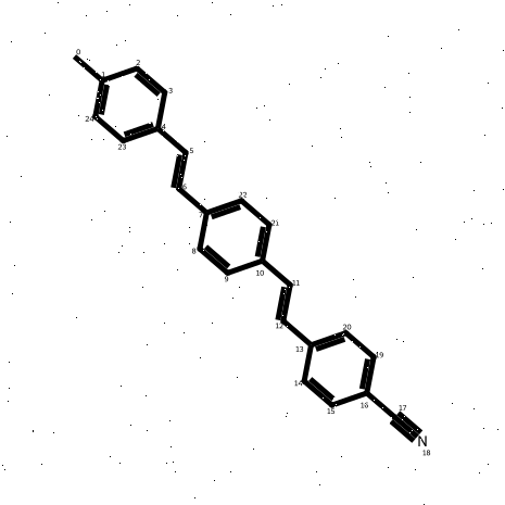 Cc1ccc(/C=C/c2ccc(/C=C/c3ccc(C#N)cc3)cc2)cc1